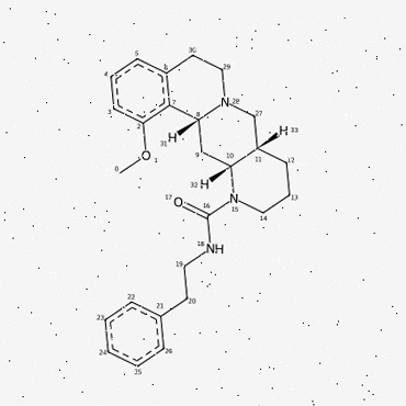 COc1cccc2c1[C@H]1C[C@@H]3[C@@H](CCCN3C(=O)NCCc3ccccc3)CN1CC2